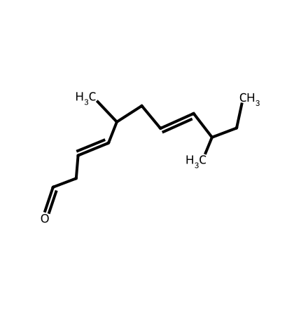 CCC(C)C=CCC(C)C=CCC=O